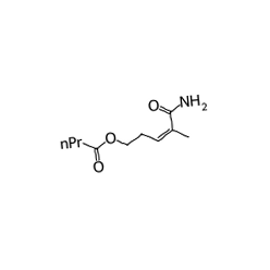 CCCC(=O)OCCC=C(C)C(N)=O